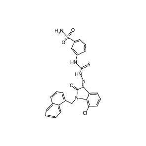 NS(=O)(=O)c1cccc(NC(=S)NN=C2C(=O)N(Cc3cccc4ccccc34)c3c(Cl)cccc32)c1